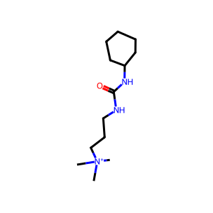 C[N+](C)(C)CCCNC(=O)NC1CCCCC1